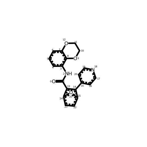 O=C(Nc1cccc2c1OCCO2)c1c(-c2ccncc2)c2ccc1o2